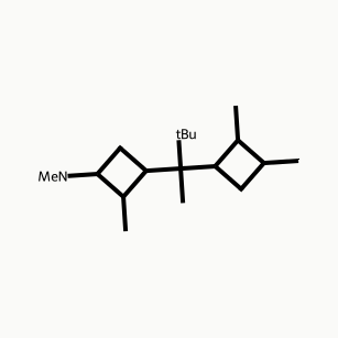 CNC1CC(C(C)(C2CC(C)C2C)C(C)(C)C)C1C